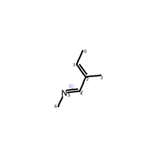 CC=C(C)/[C]=N/C